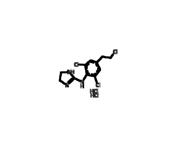 Cl.Cl.ClCCc1cc(Cl)c(NC2=NCCN2)c(Cl)c1